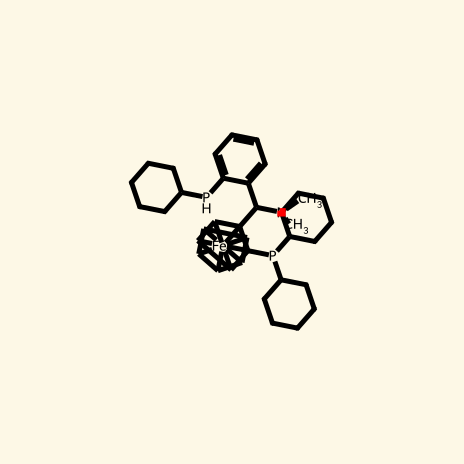 CN(C)C(c1ccccc1PC1CCCCC1)[C]12[CH]3[CH]4[CH]5[C]1(P(C1CCCCC1)C1CCCCC1)[Fe]43521678[CH]2[CH]1[CH]6[CH]7[CH]28